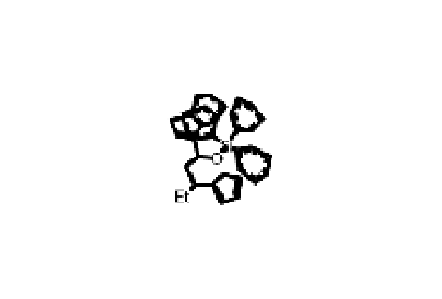 CCC(CC(O[Si](c1ccccc1)(c1ccccc1)c1ccccc1)C1=CCc2ccccc21)C1=CC=CC1